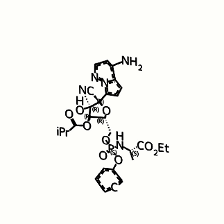 CCOC(=O)[C@H](C)N[P@](=O)(OC[C@H]1O[C@@](C#N)(c2ccc3c(N)ccnn23)[C@](C)(O)[C@@H]1OC(=O)C(C)C)Oc1ccccc1